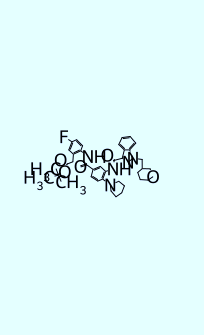 CC(C)(C)OC(=O)Cc1cc(F)ccc1NC(=O)c1ccc(N2CCCCC2)c(NC(=O)c2nn(CC3CCCOC3)c3ccccc23)c1